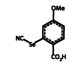 COc1ccc(C(=O)O)c([Se]C#N)c1